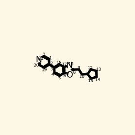 c1cc(-c2ccc3oc(CCC4CCCC4)nc3c2)ccn1